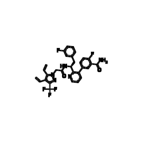 C=Cc1c(C(F)(F)F)nn(CC(=O)N[C@@H](Cc2cccc(F)c2)c2ncccc2-c2ccc(F)c(C(N)=O)c2)c1C=C